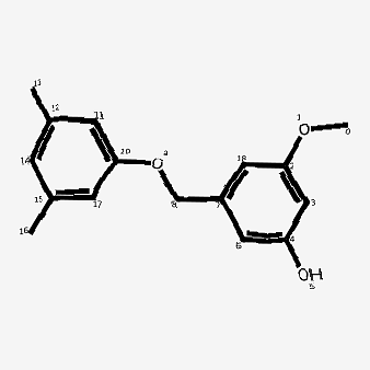 COc1cc(O)cc(COc2cc(C)cc(C)c2)c1